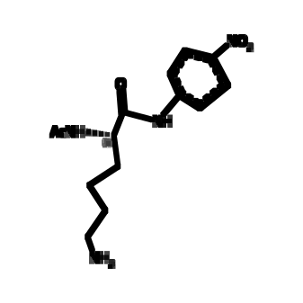 CC(=O)N[C@@H](CCCCN)C(=O)Nc1ccc([N+](=O)[O-])cc1